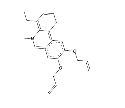 C=CCOc1cc2c(cc1OCC=C)=C1CC=CC(CC)=C1N(C)C=2